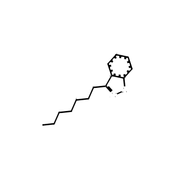 CCCCCCCC1=N[N]c2ccccc21